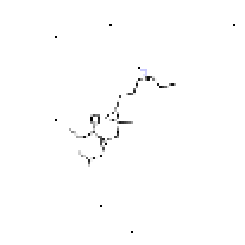 CC/C=C\CCC1CC1(C)CN(CC(C)C)C(=O)CC